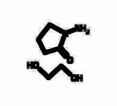 NN1CCCC1=O.OCCO